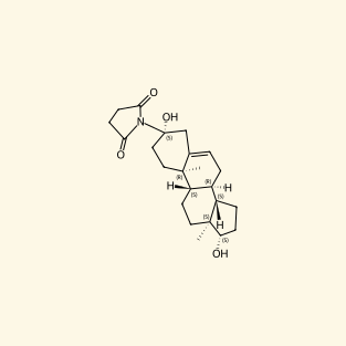 C[C@]12CC[C@H]3[C@@H](CC=C4C[C@](O)(N5C(=O)CCC5=O)CC[C@@]43C)[C@@H]1CC[C@@H]2O